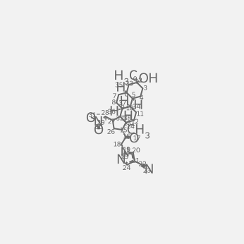 C[C@@]1(O)CC[C@H]2[C@H](CC[C@@H]3[C@@H]2CC[C@]2(C)[C@@H](C(=O)Cn4cc(C#N)cn4)CC(C[N+](=O)[O-])[C@@H]32)C1